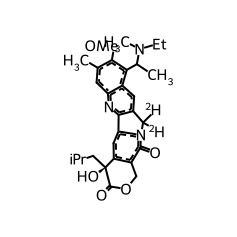 [2H]C1([2H])c2cc3c(C(C)N(C)CC)c(OC)c(C)cc3nc2-c2cc3c(c(=O)n21)COC(=O)[C@]3(O)CC(C)C